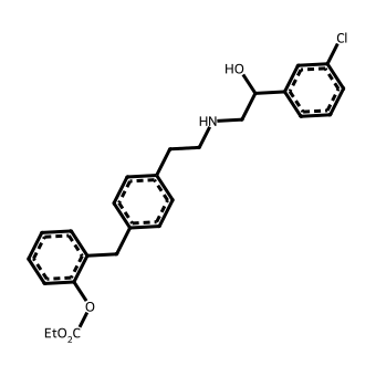 CCOC(=O)Oc1ccccc1Cc1ccc(CCNCC(O)c2cccc(Cl)c2)cc1